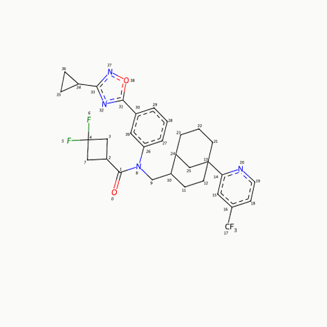 O=C(C1CC(F)(F)C1)N(CC1CCC2(c3cc(C(F)(F)F)ccn3)CCCC1C2)c1cccc(-c2nc(C3CC3)no2)c1